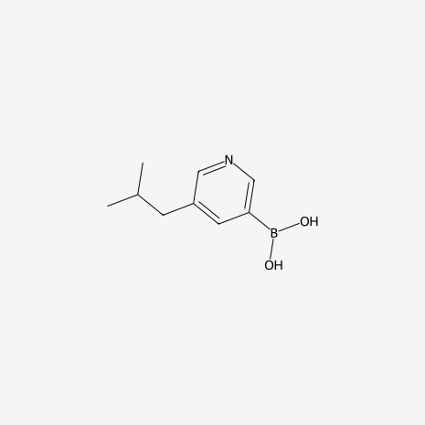 CC(C)Cc1cncc(B(O)O)c1